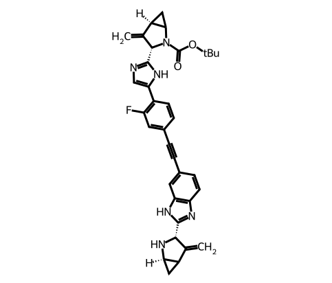 C=C1C2C[C@H]2N[C@@H]1c1nc2ccc(C#Cc3ccc(-c4cnc([C@@H]5C(=C)[C@H]6CC6N5C(=O)OC(C)(C)C)[nH]4)c(F)c3)cc2[nH]1